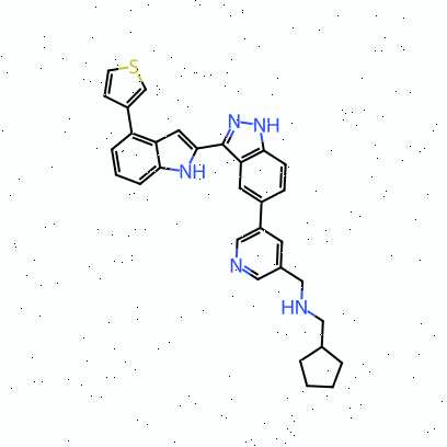 c1cc(-c2ccsc2)c2cc(-c3n[nH]c4ccc(-c5cncc(CNCC6CCCC6)c5)cc34)[nH]c2c1